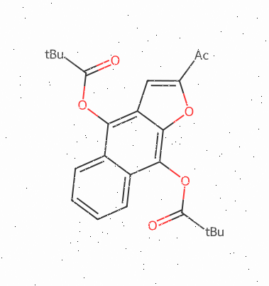 CC(=O)c1cc2c(OC(=O)C(C)(C)C)c3ccccc3c(OC(=O)C(C)(C)C)c2o1